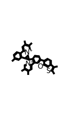 Cc1ccc2c(c1)C1C([n+]3cc(C)c(C)cc3-2)C12c1ccc3c(oc4c3ccc3c(C)c(C)sc34)c1-c1cc(C)c(C)c[n+]12